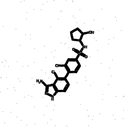 Nc1n[nH]c2ccc(-c3ccc(S(=O)(=O)NC4CCCC4O)cc3Cl)c(Cl)c12